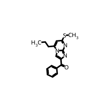 CCCc1cc(SC)nc2nc(C(=O)c3ccccc3)cn12